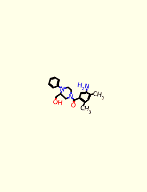 Cc1cc(C)c(C(=O)N2CCN(c3ccccc3)C(CO)C2)cc1N